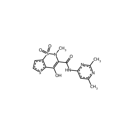 Cc1cc(NC(=O)C2=C(O)c3sccc3S(=O)(=O)N2C)nc(C)n1